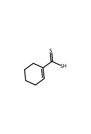 S=C(S)C1=CCCCC1